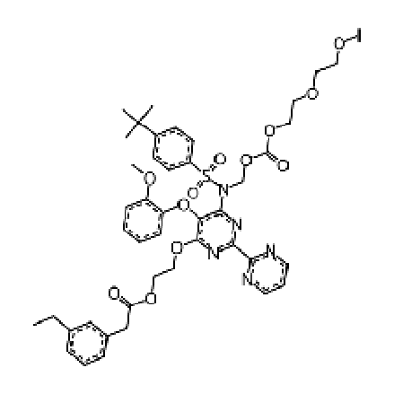 CCc1cccc(CC(=O)OCCOc2nc(-c3ncccn3)nc(N(COC(=O)OCCOCCOI)S(=O)(=O)c3ccc(C(C)(C)C)cc3)c2Oc2ccccc2OC)c1